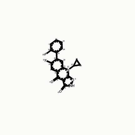 O=c1[nH]sc2c1c(=O)c1cc(F)c(-c3ccccc3F)cc1n2C1CC1